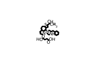 CC(C)c1cc2c(s1)CC=c1cccnc1=C2N1CCNC(Cc2ccccc2)C1.O=C(O)CCC(=O)O